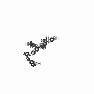 CC1(C)CCC(CN2CCN(c3ccc(C(=O)NS(=O)(=O)c4ccc(NC[C@H]5CC[C@](C)(O)CC5)c([N+](=O)[O-])c4)c(Oc4cnc5[nH]ccc5c4)c3)CC2)=C(c2cc(-c3ccc4c(c3)CCC4(C)O)cs2)C1